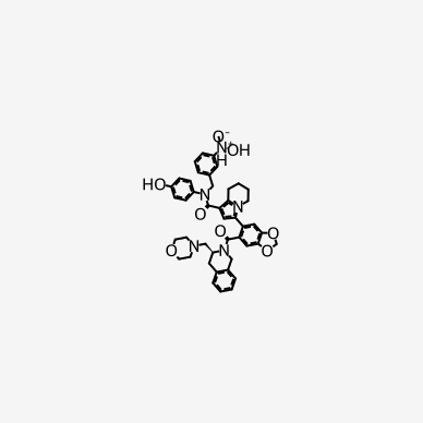 O=C(c1cc(-c2cc3c(cc2C(=O)N2Cc4ccccc4C[C@H]2CN2CCOCC2)OCO3)n2c1CCCC2)N(Cc1cccc([NH+]([O-])O)c1)c1ccc(O)cc1